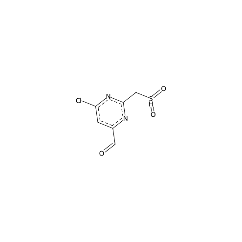 O=Cc1cc(Cl)nc(C[SH](=O)=O)n1